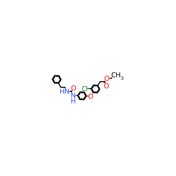 CCOC(=O)Cc1ccc(Oc2ccc(NC(=O)NCCc3ccccc3)cc2)c(Cl)c1